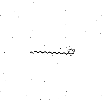 CC(=O)CCCCCCCCCCCCCCC1OCOCO1